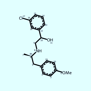 COc1ccc(C[C@@H](C)NCC(O)c2cccc(Cl)c2)cc1